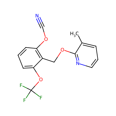 Cc1cccnc1OCc1c(OC#N)cccc1OC(F)(F)F